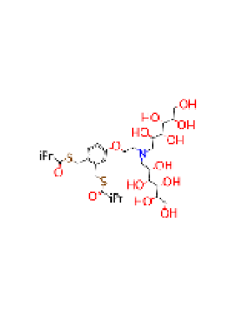 CC(C)C(=O)SCc1ccc(OCCN(C[C@@H](O)[C@@H](O)[C@H](O)[C@H](O)CO)C[C@@H](O)[C@@H](O)[C@H](O)[C@H](O)CO)cc1CSC(=O)C(C)C